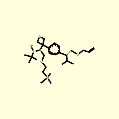 C=CCOC[C@@H](c1ccc(C2(N(COCC[Si](C)(C)C)[S+]([O-])C(C)(C)C)COC2)cc1)C(C)C